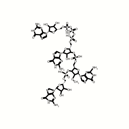 COC1C(OP(=O)(O)OC[C@H]2O[C@@H](n3cnc4c(=O)[nH]c(N)nc43)C(O)C2O)[C@@H](COP(=O)(O)OC2C(O)[C@H](n3cnc4c(=O)[nH]c(N)nc43)O[C@@H]2COP(=O)(O)OP(=O)(O)OP(=O)(O)OC[C@@H]2O[C@H](n3cnc4c(=O)[nH]c(N)nc43)C(O)C2O)O[C@H]1n1cnc2c(=O)[nH]c(N)nc21